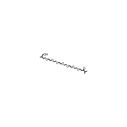 CC(CO)CCOCCOCCOCCOCCOCCOCCOCCC(=O)C(C)C